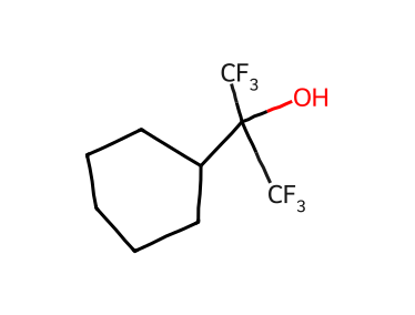 OC(C1CCCCC1)(C(F)(F)F)C(F)(F)F